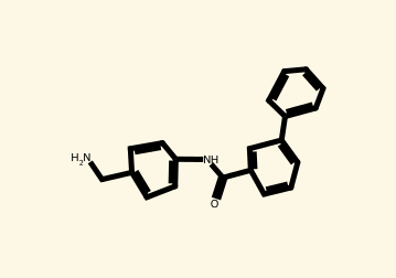 NCc1ccc(NC(=O)c2cccc(-c3ccccc3)c2)cc1